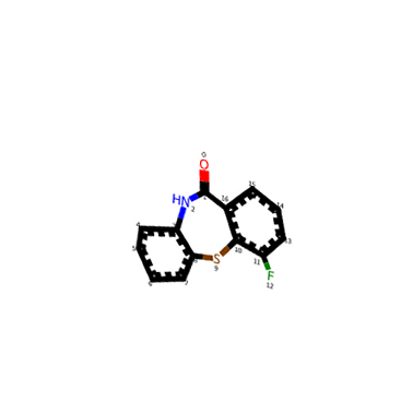 O=C1Nc2ccccc2Sc2c(F)cccc21